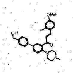 COc1ccc(C=CC(=O)c2cc(-c3ccc(CO)cc3)ccc2N2CCN(C)CC2)c(F)c1